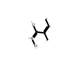 C/C=C(C)\C(Cl)=N/CC